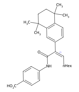 CCCCCC/C=C(\C(=O)Nc1ccc(C(=O)O)cc1)c1ccc2c(c1)C(C)(C)CCC2(C)C